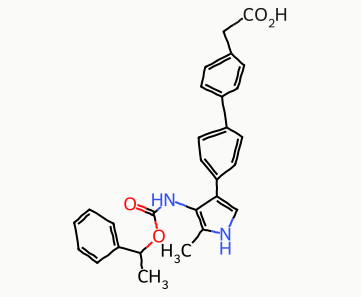 Cc1[nH]cc(-c2ccc(-c3ccc(CC(=O)O)cc3)cc2)c1NC(=O)OC(C)c1ccccc1